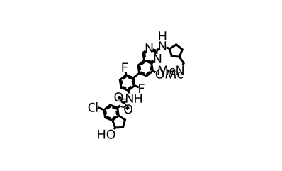 CNCC1CCC(Nc2ncc3cc(-c4c(F)ccc(NS(=O)(=O)c5cc(Cl)cc6c5CCC6O)c4F)cc(OC)c3n2)C1